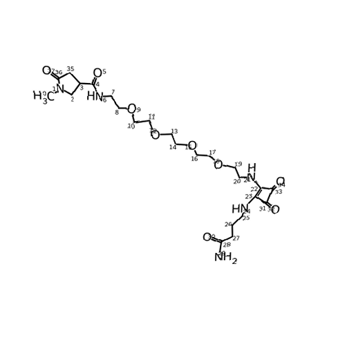 CN1CC(C(=O)NCCOCCOCCOCCOCCNc2c(NCCCC(N)=O)c(=O)c2=O)CC1=O